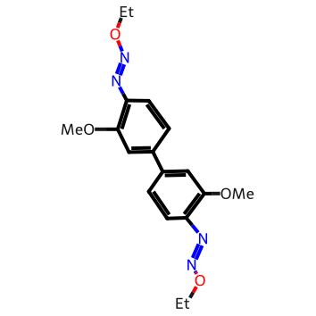 CCON=Nc1ccc(-c2ccc(N=NOCC)c(OC)c2)cc1OC